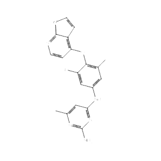 Cc1cc(Nc2cc(F)c(Oc3ccnc4[nH]ccc34)c(F)c2)nc(N)n1